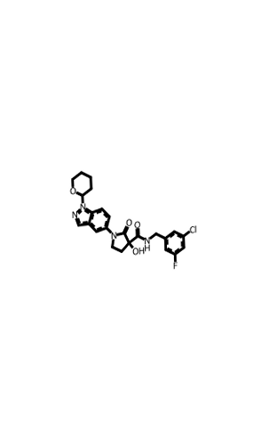 O=C(NCc1cc(F)cc(Cl)c1)C1(O)CCN(c2ccc3c(cnn3C3CCCCO3)c2)C1=O